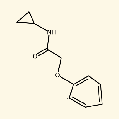 O=C(COc1[c]cccc1)NC1CC1